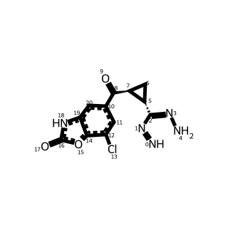 N=N/C(=N\N)[C@H]1C[C@@H]1C(=O)c1cc(Cl)c2oc(=O)[nH]c2c1